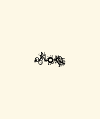 COC(=O)c1cncn1Cc1ccc(-c2noc(C(F)(F)F)n2)cc1